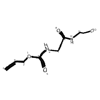 C=CCOC(=O)NCC(=O)NCCl